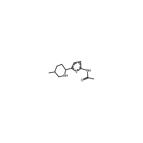 CC(=O)Nc1ccc(C2CCC(C)CN2)s1